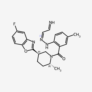 Cc1ccc(N/N=C\C=N)c(C(=O)N2C[C@H](c3nc4cc(F)ccc4o3)CC[C@H]2C)c1